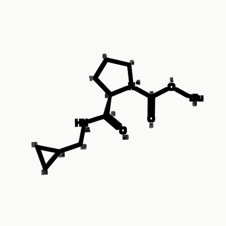 CC(C)(C)OC(=O)N1CCC[C@@H]1C(=O)NCC1CC1